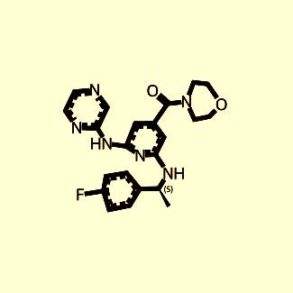 C[C@H](Nc1cc(C(=O)N2CCOCC2)cc(Nc2cnccn2)n1)c1ccc(F)cc1